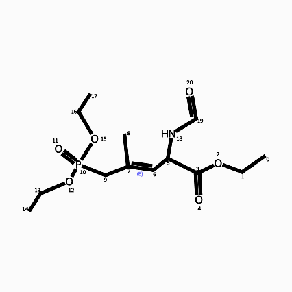 CCOC(=O)C(/C=C(\C)CP(=O)(OCC)OCC)NC=O